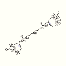 C=C1C(=O)O[C@@H]2[C@@H]1CC/C(CNC(=O)NCCCNCCCNC(=O)NC/C1=C/CC[C@@]3(C)O[C@H]3[C@H]3OC(=O)C(=C)[C@@H]3CC1)=C\CC[C@]1(C)O[C@H]21